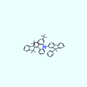 CC(C)(C)c1cc(N(c2ccc3c(c2)C(C)(c2ccccc2)c2ccccc2-3)c2ccccc2-c2cccc3c2C(C)(C)c2ccccc2-3)cc(C(C)(C)C)c1